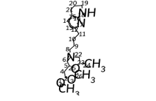 COC(=O)CCCN(CCCCc1ccc2c(n1)NCCC2)C[C@@H](C)OC